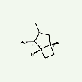 CC(=O)[C@@H]1[C@H]2CC[C@H]2CN1C